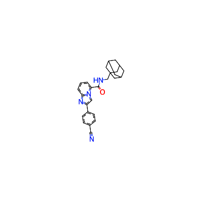 N#Cc1ccc(-c2cn3c(C(=O)NCC45CC6CC(CC(C6)C4)C5)cccc3n2)cc1